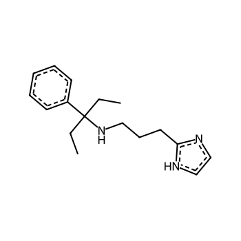 CCC(CC)(NCCCc1ncc[nH]1)c1ccccc1